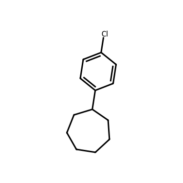 Clc1ccc(C2CCCCCC2)cc1